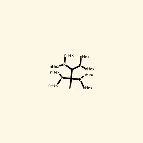 CCCCCCP(CCCCCC)C(P(CCCCCC)CCCCCC)C(CC)(P(CCCCCC)CCCCCC)P(CCCCCC)CCCCCC